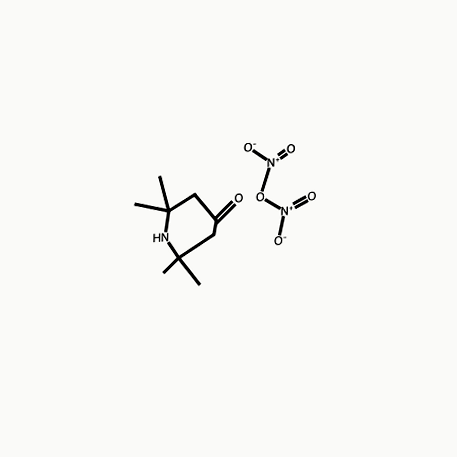 CC1(C)CC(=O)CC(C)(C)N1.O=[N+]([O-])O[N+](=O)[O-]